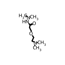 CN(C)CCOCCC(=O)NN(C)C